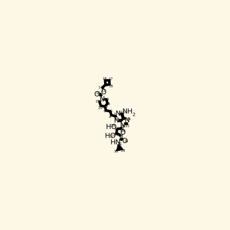 Nc1nc(CCCC2CCN(C(=O)OCC3CCC3)CC2)nc2c1ncn2[C@@H]1O[C@H](C(=O)NC2CC2)[C@H](O)C1O